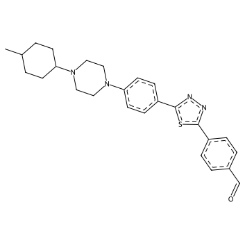 CC1CCC(N2CCN(c3ccc(-c4nnc(-c5ccc(C=O)cc5)s4)cc3)CC2)CC1